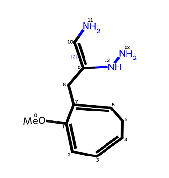 COC1=CC=CCC=C1C/C(=C/N)NN